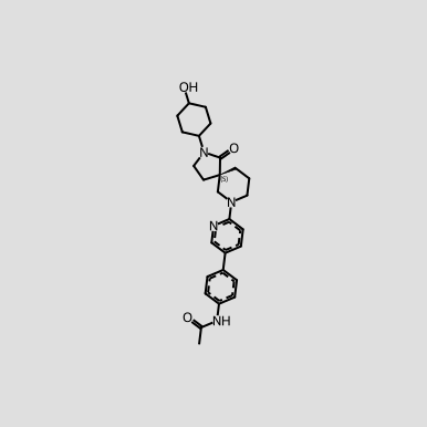 CC(=O)Nc1ccc(-c2ccc(N3CCC[C@]4(CCN(C5CCC(O)CC5)C4=O)C3)nc2)cc1